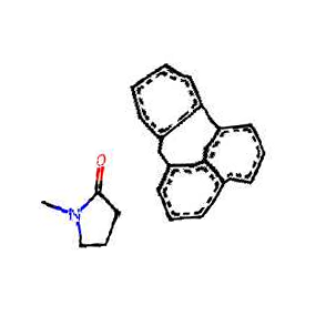 CN1CCCC1=O.c1ccc2c(c1)-c1cccc3cccc-2c13